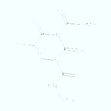 CCCCCCNC(=O)n1cc(F)c(=O)n(C(=O)OC)c1=O